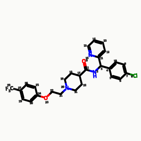 O=C(NC(c1ccc(Cl)cc1)c1ccccn1)C1CCN(CCOc2ccc(C(F)(F)F)cc2)CC1